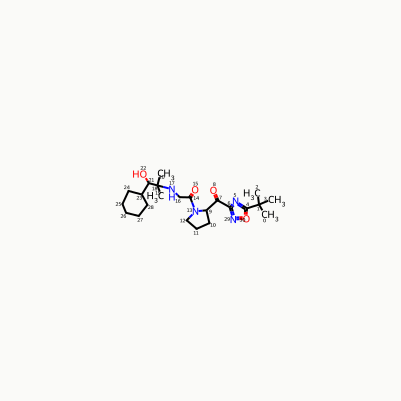 CC(C)(C)c1nc(C(=O)C2CCCN2C(=O)CNC(C)(C)C(O)C2CCCCC2)no1